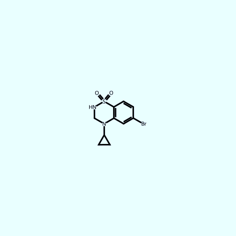 O=S1(=O)NCN(C2CC2)c2cc(Br)ccc21